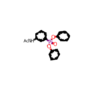 CC(=O)Nc1cccc(P(=O)(Oc2ccccc2)Oc2ccccc2)c1